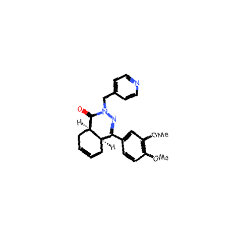 COc1ccc(C2=NN(Cc3ccncc3)C(=O)[C@@H]3CC=CC[C@H]23)cc1OC